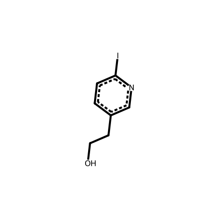 OCCc1ccc(I)nc1